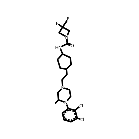 CC1CN(CCC2CCC(NC(=O)N3CC(F)(F)C3)CC2)CCN1c1cccc(Cl)c1Cl